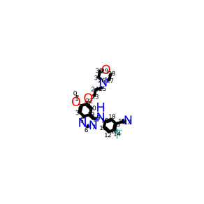 COc1cc2ncnc(Nc3ccc(F)c(C#N)c3)c2cc1OCCCN1CCOCC1